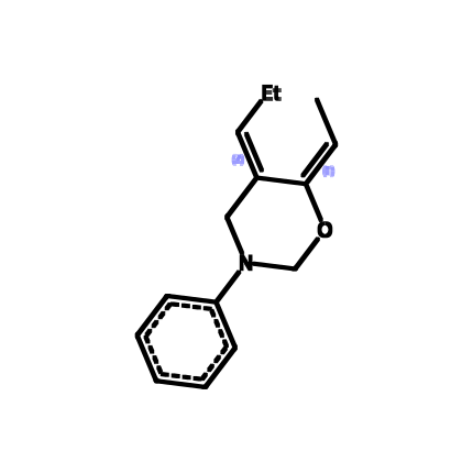 C/C=C1/OCN(c2ccccc2)C/C1=C/CC